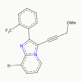 COCC#Cc1c(-c2ccccc2C(F)(F)F)nc2c(Br)cccn12